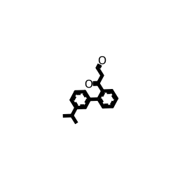 CC(C)c1cccc(-c2ccccc2C(=O)CC=O)c1